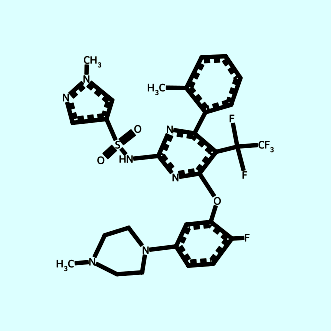 Cc1ccccc1-c1nc(NS(=O)(=O)c2cnn(C)c2)nc(Oc2cc(N3CCN(C)CC3)ccc2F)c1C(F)(F)C(F)(F)F